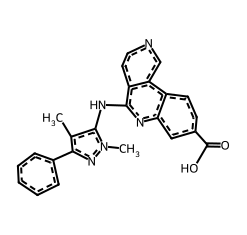 Cc1c(-c2ccccc2)nn(C)c1Nc1nc2cc(C(=O)O)ccc2c2cnccc12